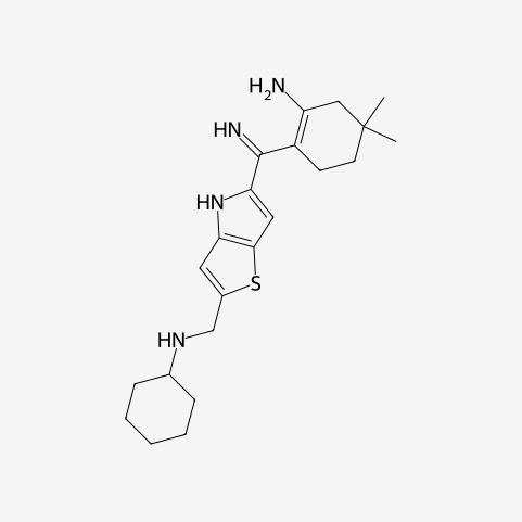 CC1(C)CCC(C(=N)c2cc3sc(CNC4CCCCC4)cc3[nH]2)=C(N)C1